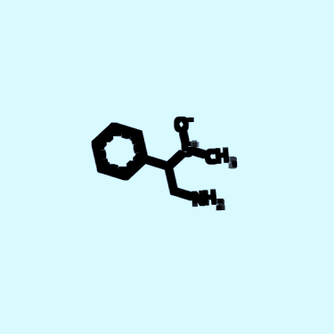 C[S+]([O-])C(CN)c1ccccc1